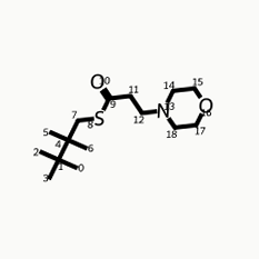 CC(C)(C)C(C)(C)CSC(=O)CCN1CCOCC1